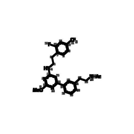 COc1nc(NCCc2ccc(C(F)(F)F)cc2F)cc(-c2cccc(CCNC(C)=O)c2)n1